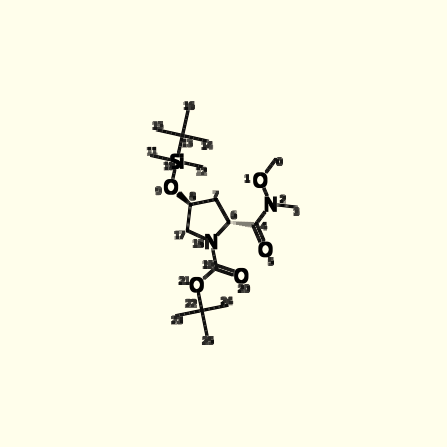 CON(C)C(=O)[C@H]1C[C@H](O[Si](C)(C)C(C)(C)C)CN1C(=O)OC(C)(C)C